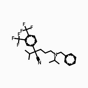 CC(C)N(CCCC(C#N)(c1ccc(C(F)(F)F)c(C(F)(F)F)c1)C(C)C)Cc1ccccc1